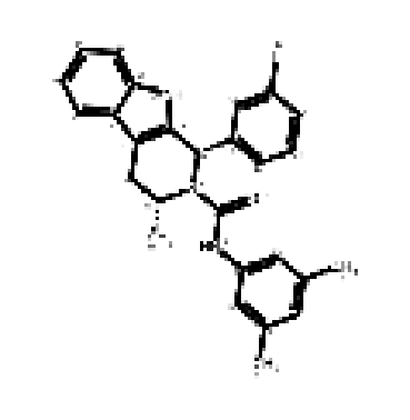 Cc1cc(C)cc(NC(=O)N2[C@H](c3cccc(F)c3)c3[nH]c4ccccc4c3C[C@H]2C)c1